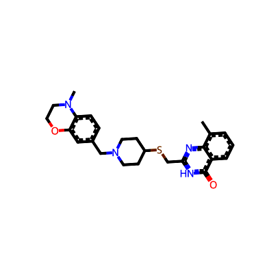 Cc1cccc2c(=O)[nH]c(CSC3CCN(Cc4ccc5c(c4)OCCN5C)CC3)nc12